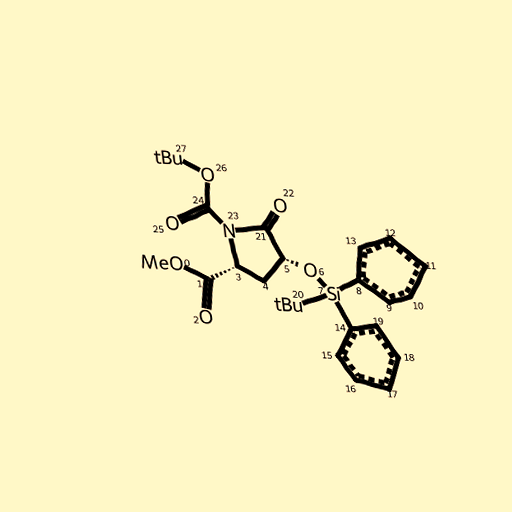 COC(=O)[C@H]1C[C@@H](O[Si](c2ccccc2)(c2ccccc2)C(C)(C)C)C(=O)N1C(=O)OC(C)(C)C